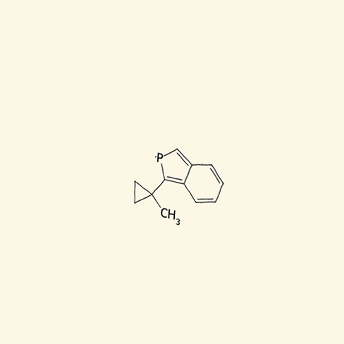 CC1(C2=c3ccccc3=C[P]2)CC1